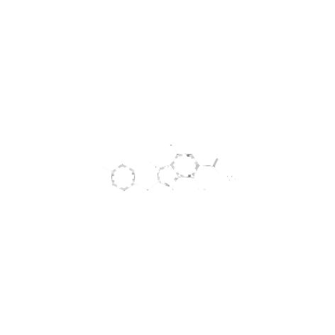 COC(=O)c1cc(Cl)c2c(nc(Cc3ccc(F)cc3)n2C)c1O